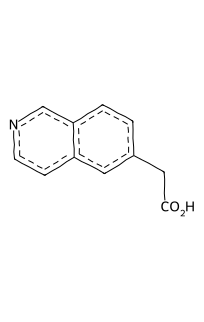 O=C(O)Cc1ccc2cnccc2c1